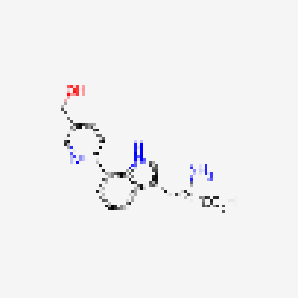 N[C@@H](Cc1c[nH]c2c(-c3ccc(CO)cn3)cccc12)C(=O)O